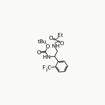 CCS(=O)(=O)NCC(NC(=O)OC(C)(C)C)c1ccccc1C(F)(F)F